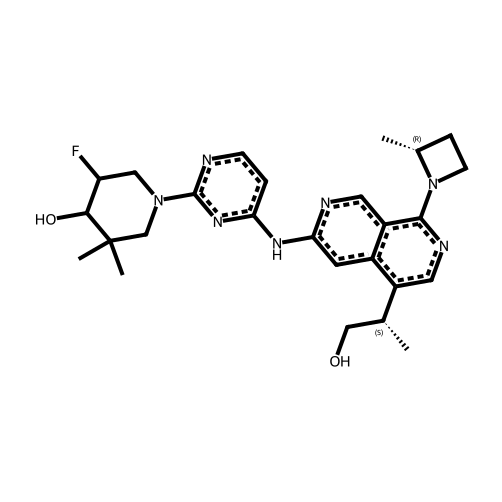 C[C@H](CO)c1cnc(N2CC[C@H]2C)c2cnc(Nc3ccnc(N4CC(F)C(O)C(C)(C)C4)n3)cc12